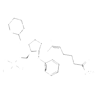 COC(=O)CCC/C=C\C[C@@]1([Se]c2ccccc2)[C@@H](O)C[C@@H](OC2CCCCO2)[C@@H]1CO[Si](C)(C)C(C)(C)C